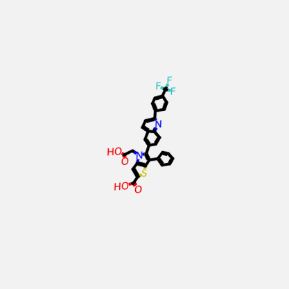 O=C(O)Cn1c(-c2ccc3nc(-c4ccc(C(F)(F)F)cc4)ccc3c2)c(-c2ccccc2)c2sc(C(=O)O)cc21